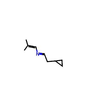 CC(C)=C/N=C/CC1CC1